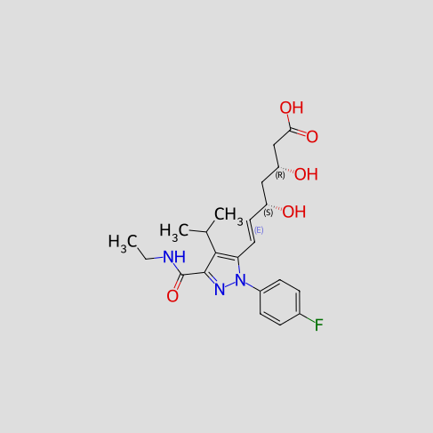 CCNC(=O)c1nn(-c2ccc(F)cc2)c(/C=C/[C@@H](O)C[C@@H](O)CC(=O)O)c1C(C)C